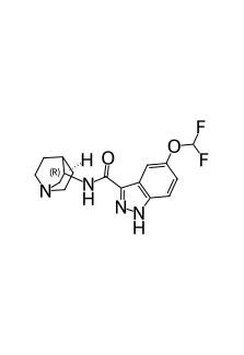 O=C(N[C@H]1CN2CCC1CC2)c1n[nH]c2ccc(OC(F)F)cc12